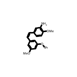 COc1cc(/C=C\c2ccc(OC)c(N)c2)cc(OC(C)C)c1